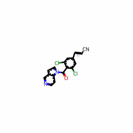 N#C/C=C/c1cc(Cl)c(C(=O)n2ccc3cnccc32)c(Cl)c1